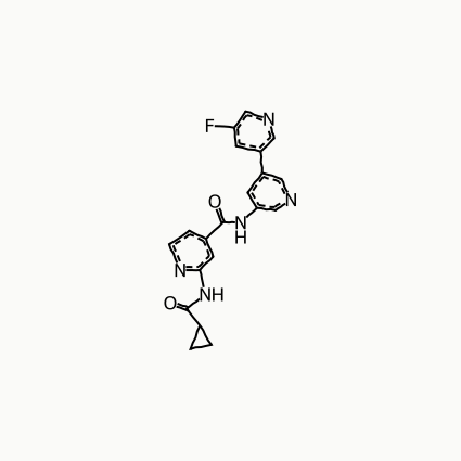 O=C(Nc1cncc(-c2cncc(F)c2)c1)c1ccnc(NC(=O)C2CC2)c1